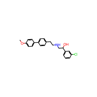 COc1ccc(-c2ccc(CCNCC(O)c3cccc(Cl)c3)cc2)cc1